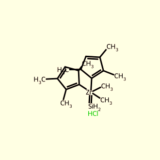 CC1=CC(C)[C]([Zr]([CH3])([CH3])(=[SiH2])[C]2=C(C)C(C)=CC2C)=C1C.Cl